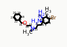 CC1=C(Br)C=CC(N)(CCCN(C)CCOCc2ccccc2)C1N